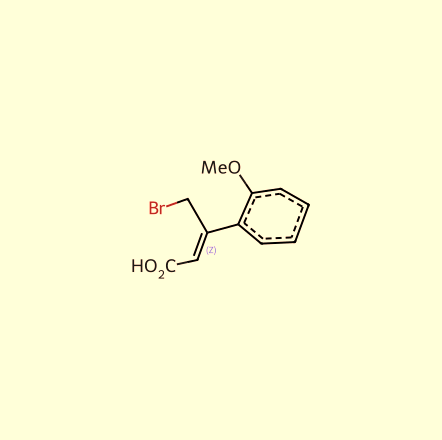 COc1ccccc1/C(=C/C(=O)O)CBr